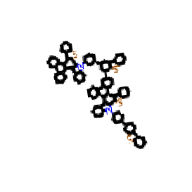 c1cc(-c2cc(-c3ccc4c(c3)c3ccccc3c3c4c4c5ccccc5sc4c4c3c3ccccc3n4-c3ccc(-c4ccc5c(c4)sc4ccccc45)cc3)c3sc4ccccc4c3c2)cc(-n2c3ccccc3c3c4c5ccccc5c5ccccc5c4c4c5ccccc5sc4c32)c1